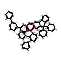 c1ccc(-c2cccc(-c3ccc(N(c4ccc5c(c4)C(c4ccccc4)(c4ccccc4)c4ccccc4-5)c4cccc(-c5ccccc5)c4-c4ccccc4-c4ccccc4)cc3)c2)cc1